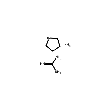 C1CCNC1.N.N=C(N)N